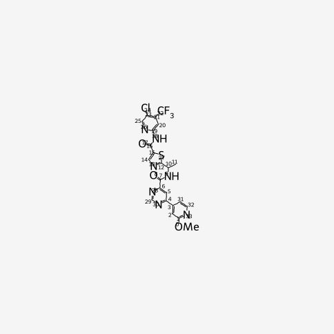 COc1cc(-c2cc(C(=O)NC(C)c3ncc(C(=O)Nc4cc(C(F)(F)F)c(Cl)cn4)s3)ncn2)ccn1